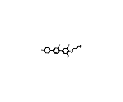 CC1CCC(c2ccc(-c3cc(F)c(OCCCF)c(F)c3)c(F)c2)CC1